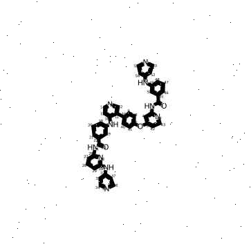 O=C(Nc1cc(Oc2ccc(-c3cnccc3Nc3cccc(C(=O)Nc4cccc(Nc5ccncc5)n4)c3)cc2)ccn1)c1cccc(Nc2ccncc2)c1